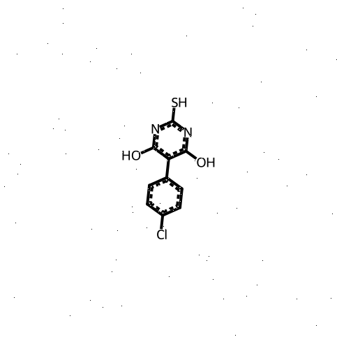 Oc1nc(S)nc(O)c1-c1ccc(Cl)cc1